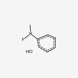 CN(F)c1ccccc1.Cl